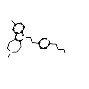 Cc1ccc2c(c1)c1c(n2CCc2ccc(CCCN)nc2)CCN(C)CC1